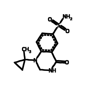 CC1(N2CNC(=O)c3cc(S(N)(=O)=O)ccc32)CC1